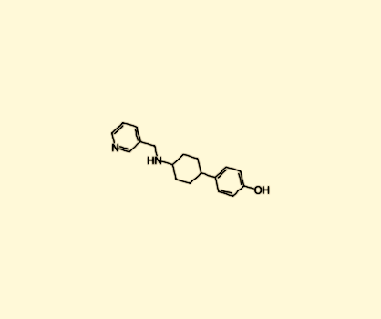 Oc1ccc(C2CCC(NCc3cccnc3)CC2)cc1